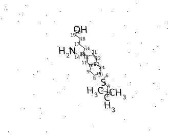 CC(C)(C)CSC[C@@H]1CCc2cc([C@H](CN)CCCCO)ccc2C1